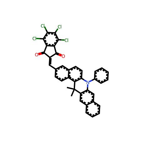 CC1(C)c2cc3ccccc3cc2N(c2ccccc2)c2ccc3cc(C=C4C(=O)c5c(Cl)c(Cl)c(Cl)c(Cl)c5C4=O)ccc3c21